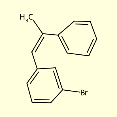 CC(=Cc1cccc(Br)c1)c1ccccc1